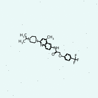 Cc1cc(N2CCN(C(C)C)CC2)nc2ccc(NC(=O)COc3ccc(C(F)(F)F)cc3)cc12